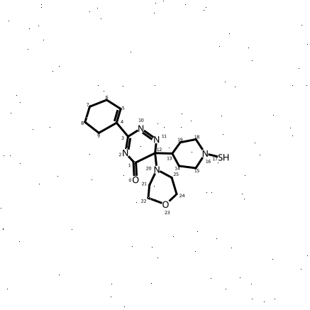 O=C1N=C(C2=CCCCC2)N=NC1(C1CCN(S)CC1)N1CCOCC1